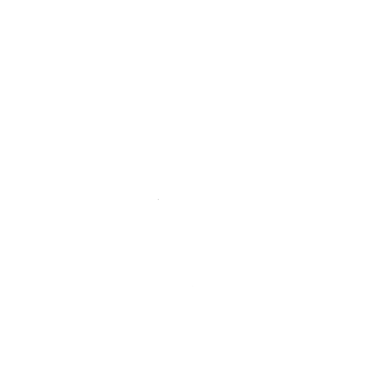 O=C(Cc1ccc(F)cc1F)c1ccc(O)c(CCl)c1